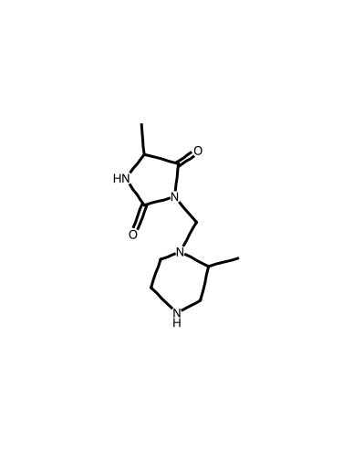 CC1NC(=O)N(CN2CCNCC2C)C1=O